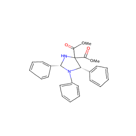 COC(=O)C1(C(=O)OC)N[C@@H](c2ccccc2)N(c2ccccc2)[C@H]1c1ccccc1